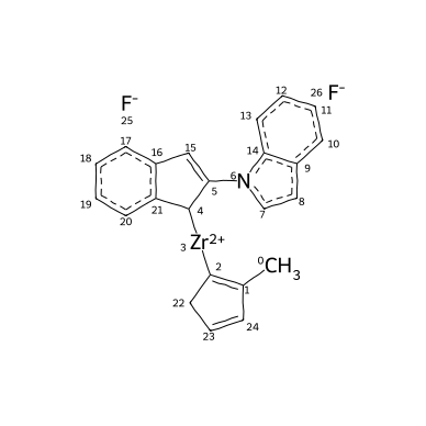 CC1=[C]([Zr+2][CH]2C(n3ccc4ccccc43)=Cc3ccccc32)CC=C1.[F-].[F-]